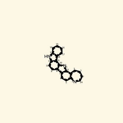 c1ccc2c(ccc3c4ccc5[nH]c6ccccc6c5c4nc23)nc1